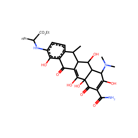 CCCC(Nc1ccc2c(c1O)C(=O)C1=C(O)C3(O)C(=O)C(C(N)=O)=C(O)C(N(C)C)C3C(O)C1C2C)C(=O)OCC